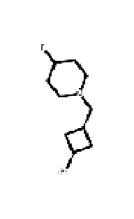 CC(C)[C@H]1C[C@@H](CN2CCC(F)CC2)C1